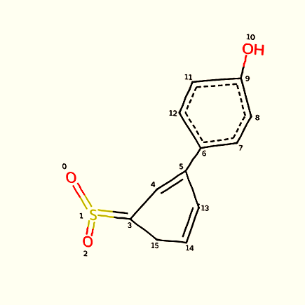 O=S(=O)=C1C=C(c2ccc(O)cc2)[C]=CC1